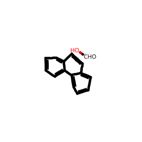 O=CO.c1ccc2c(c1)ccc1ccccc12